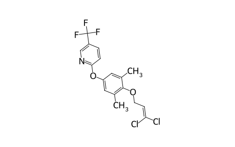 Cc1cc(Oc2ccc(C(F)(F)F)cn2)cc(C)c1OCC=C(Cl)Cl